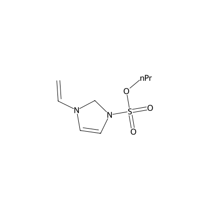 C=CN1C=CN(S(=O)(=O)OCCC)C1